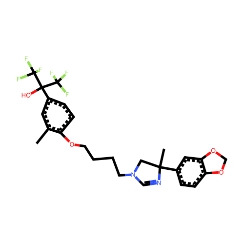 Cc1cc(C(O)(C(F)(F)F)C(F)(F)F)ccc1OCCCCN1C=NC(C)(c2ccc3c(c2)OCO3)C1